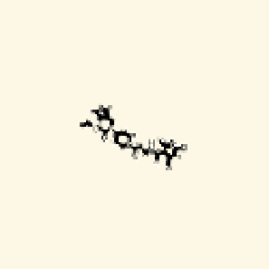 CCONC(=O)N(Cc1ccsc1)C1CCN([C@H](C)CCNC(=O)c2c(C)cc(Cl)nc2C)CC1